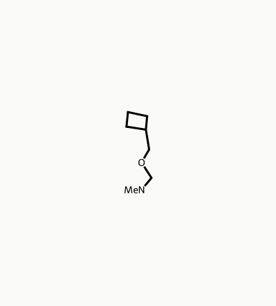 CNCOCC1CCC1